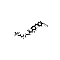 C[N+](C)(CCCS(=O)(=O)[O-])CCNC(=O)NC1CCC(CC2CCC(OC#N)CC2)CC1